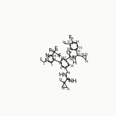 CCn1cc(-c2cc(CNC(=N)C3(C)CC3)cc(C(=O)NC(c3ccc(F)c(C)c3)C3CC3)c2)c(C(F)(F)F)n1